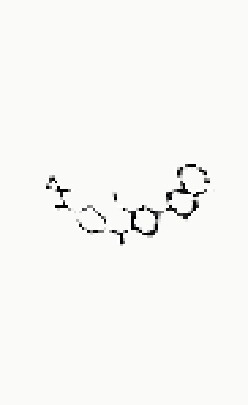 O=C(c1ccc(-c2ccc3ncccc3c2)cc1OO)N1CCN(C(=O)C2(O)CC2)CC1